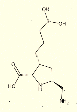 NC[C@@H]1C[C@@H](CCCB(O)O)[C@@H](C(=O)O)N1